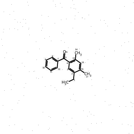 CCc1cc(C(=O)c2ccccc2)c(C)cc1C